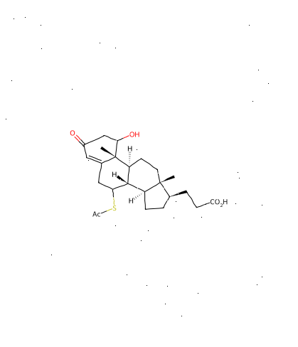 CC(=O)SC1CC2=CC(=O)CC(O)[C@]2(C)[C@H]2CC[C@]3(C)[C@@H](CCC(=O)O)CC[C@H]3[C@H]12